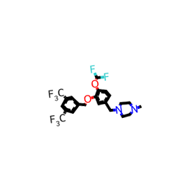 CN1CCN(Cc2ccc(OC(F)F)c(OCc3cc(C(F)(F)F)cc(C(F)(F)F)c3)c2)CC1